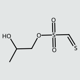 CC(O)COS(=O)(=O)C=S